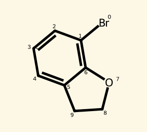 Brc1c[c]cc2c1OCC2